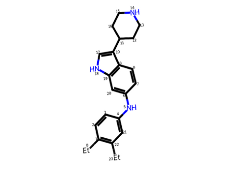 CCc1ccc(Nc2ccc3c(C4CCNCC4)c[nH]c3c2)cc1CC